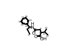 CCC(NC(=O)CC(C(=O)O)C(C)C)c1ccccc1